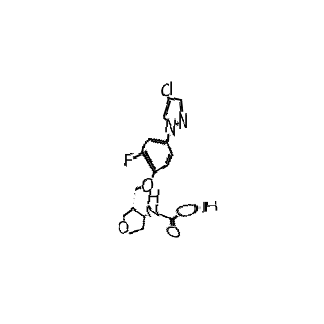 O=C(O)N[C@@H]1CCOC[C@@H]1COc1ccc(-n2cc(Cl)cn2)cc1F